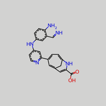 N=Cc1cc(Nc2ccnc(C3=CC=C4CC(=C3)C=C(C(=O)O)N4)c2)ccc1N